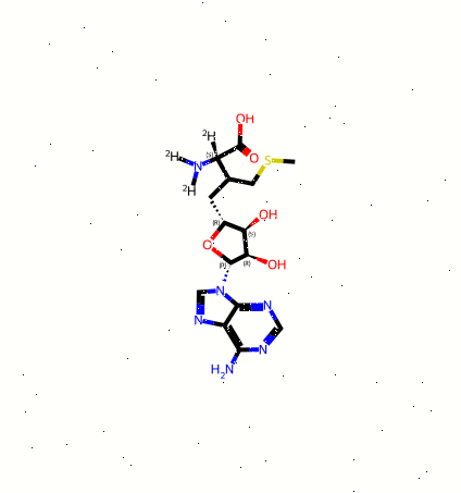 [2H]N([2H])[C@]([2H])(C(=O)O)C(CSC)C[C@H]1O[C@@H](n2cnc3c(N)ncnc32)[C@H](O)[C@@H]1O